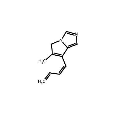 C=C/C=C\C1=C(C)Cn2cncc21